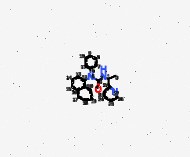 CC(NC(=O)N(c1ccccc1)c1cccc2ccccc12)c1ccccn1